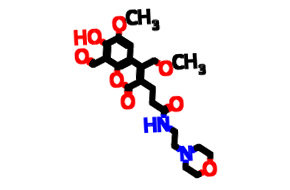 COCc1c(CCC(=O)NCCN2CCOCC2)c(=O)oc2c(C=O)c(O)c(OC)cc12